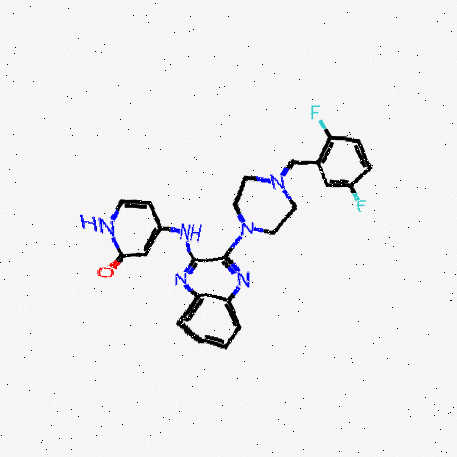 O=c1cc(Nc2nc3ccccc3nc2N2CCN(Cc3cc(F)ccc3F)CC2)cc[nH]1